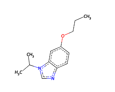 CCCOc1ccc2ncn(C(C)C)c2c1